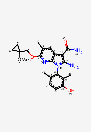 COC1(COc2nc3c(cc2C)c(C(N)=O)c(N)n3-c2c(C)ccc(O)c2C)CC1